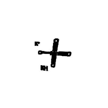 [K+].[KH].[O]=[Mn](=[O])(=[O])[O-]